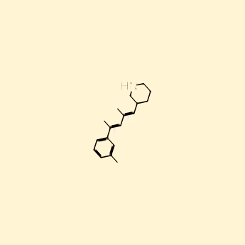 CC(=C\C1CCCNC1)/C=C(\C)c1cccc(C)c1